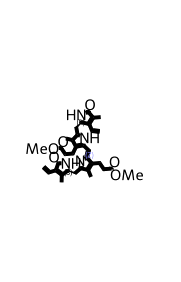 C=CC1=C(C)[C@H](CC2=N/C(=C\C3=C(CCC(=O)OC)C(C)C(C[C@H]4NC(=O)C(C)=C4C=C)N3)C(CCC(=O)OC)=C2C)NC1=O